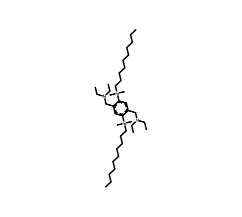 CCCCCCCCCC[Si](C)(C)c1cc(CN(CC)CC)c([Si](C)(C)CCCCCCCCCC)cc1CN(CC)CC